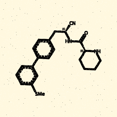 CSc1cccc(-c2ccc(C[C@@H](C#N)NC(=O)[C@@H]3CCCCN3)cc2)c1